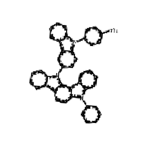 CC(C)(C)c1ccc(-n2c3ccccc3c3cc(-n4c5ccccc5c5ccc6c(c7ccccc7n6-c6ccccc6)c54)ccc32)cc1